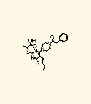 CCc1cc2c(N3CCN(C(=O)Cc4ccccc4)CC3)nc(SC(C)C(=O)O)nc2s1